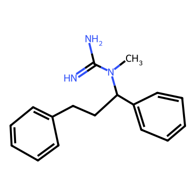 CN(C(=N)N)C(CCc1ccccc1)c1ccccc1